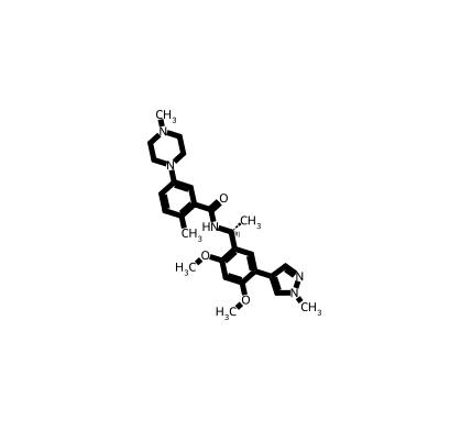 COc1cc(OC)c([C@@H](C)NC(=O)c2cc(N3CCN(C)CC3)ccc2C)cc1-c1cnn(C)c1